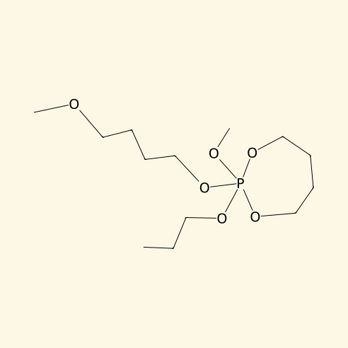 CCCOP1(OC)(OCCCCOC)OCCCCO1